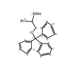 CNC(COC(c1ccccc1)(c1ccccc1)c1ccccc1)C(C)C